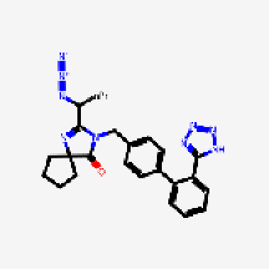 CCCC(N=[N+]=[N-])C1=NC2(CCCC2)C(=O)N1Cc1ccc(-c2ccccc2-c2nnn[nH]2)cc1